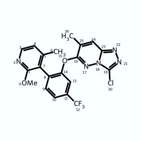 COc1nccc(C)c1-c1ccc(C(F)(F)F)cc1Oc1nn2c(Cl)nnc2cc1C